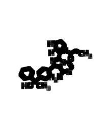 C=CC(=O)N1C2CN[C@@H](C2)C1c1nc(-c2ccc(C(C)(O)c3ccccc3)cc2)c2c(N)nccn12